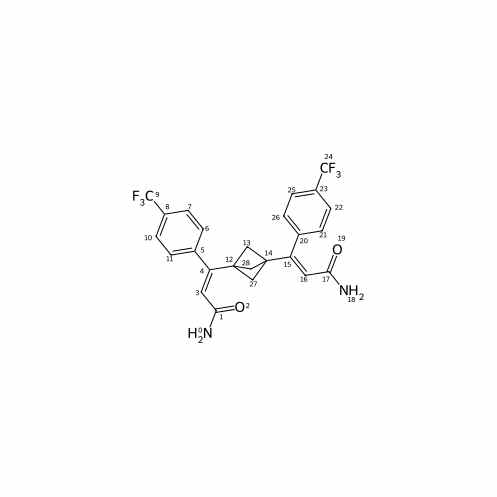 NC(=O)C=C(c1ccc(C(F)(F)F)cc1)C12CC(C(=CC(N)=O)c3ccc(C(F)(F)F)cc3)(C1)C2